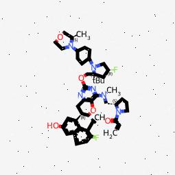 C#Cc1c(F)ccc2cc(O)cc([C@@H]3COc4c(nc(OC[C@]5(C(C)(C)C)C[C@@H](F)CN5C5CCC(N6CCOC[C@@H]6C)CC5)nc4N(C)C[C@@H]4CCCN4C(=O)C=C)C3)c12